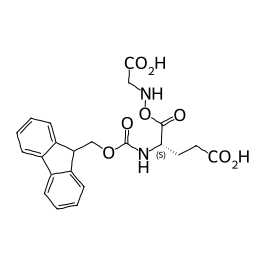 O=C(O)CC[C@H](NC(=O)OCC1c2ccccc2-c2ccccc21)C(=O)ONCC(=O)O